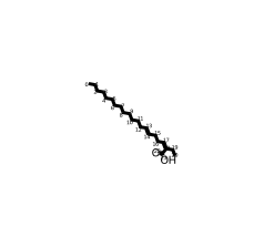 CCCCCCCCCCCCCC=CCCC=C(CC)C(=O)O